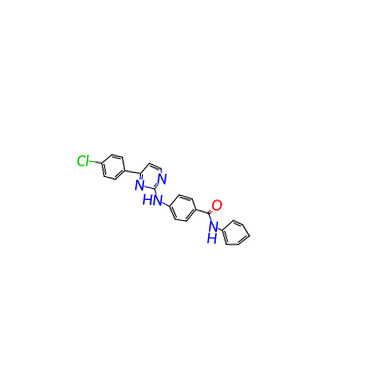 O=C(Nc1ccccc1)c1ccc(Nc2nccc(-c3ccc(Cl)cc3)n2)cc1